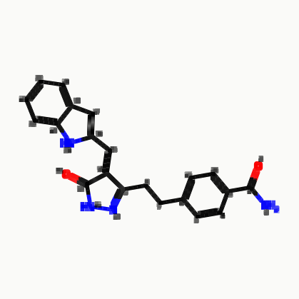 NC(=O)c1ccc(CCC2=NNC(=O)C2=Cc2cc3ccccc3[nH]2)cc1